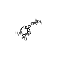 CN1CCCCCOc2cc3c(ncnc3cc2OCCCNCCS(C)(=O)=O)Nc2cc(Cl)c(F)cc2C1